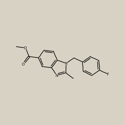 COC(=O)c1ccc2c(c1)nc(C)n2Cc1ccc(F)cc1